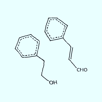 O=C/C=C/c1ccccc1.OCCc1ccccc1